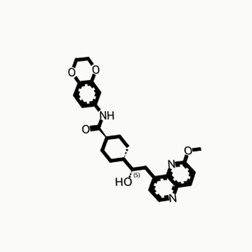 COc1ccc2nccc(C[C@H](O)[C@H]3CC[C@H](C(=O)Nc4ccc5c(c4)OCCO5)CC3)c2n1